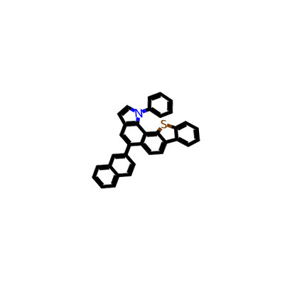 c1ccc(-n2ccc3cc(-c4ccc5ccccc5c4)c4ccc5c6ccccc6sc5c4c32)cc1